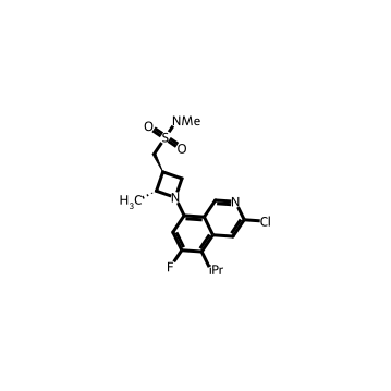 CNS(=O)(=O)C[C@H]1CN(c2cc(F)c(C(C)C)c3cc(Cl)ncc23)[C@@H]1C